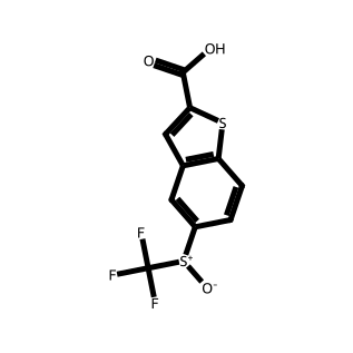 O=C(O)c1cc2cc([S+]([O-])C(F)(F)F)ccc2s1